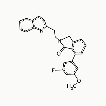 COc1cc(F)cc(-c2cccc3c2C(=O)N(CCc2ccc4ccccc4n2)C3)c1